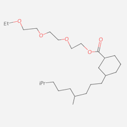 CCOCCOCCOCCOC(=O)C1CCCC(CCCC(C)CCCC(C)C)C1